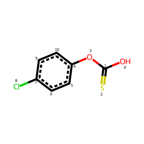 OC(=S)Oc1ccc(Cl)cc1